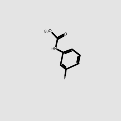 CC(C)COC(=O)Nc1cc[c]c(F)c1